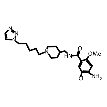 COc1cc(N)c(Cl)cc1C(=O)NCC1CCN(CCCCCn2ccnn2)CC1